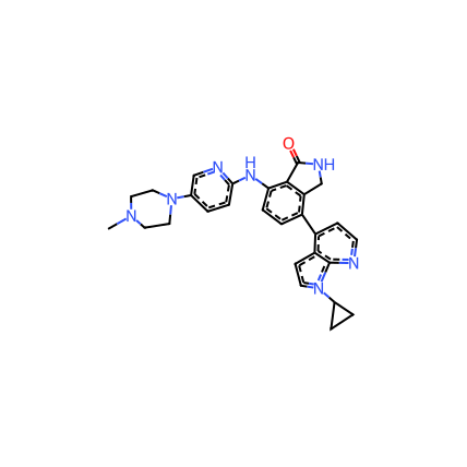 CN1CCN(c2ccc(Nc3ccc(-c4ccnc5c4ccn5C4CC4)c4c3C(=O)NC4)nc2)CC1